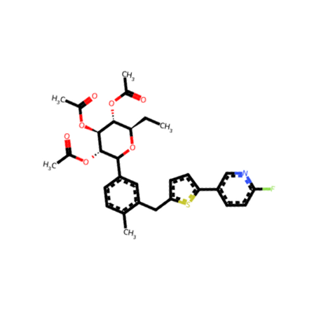 CC[C@H]1OC(c2ccc(C)c(Cc3ccc(-c4ccc(F)nc4)s3)c2)[C@H](OC(C)=O)[C@@H](OC(C)=O)[C@@H]1OC(C)=O